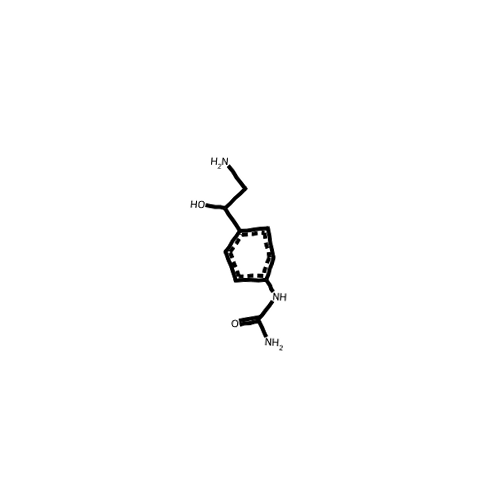 NCC(O)c1ccc(NC(N)=O)cc1